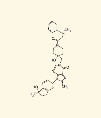 C[C@H](CC(=O)N1CCC(O)(Cn2cnc3c(-c4ccc5c(c4)CCC5(C)O)n(C)nc3c2=O)CC1)c1ccccc1